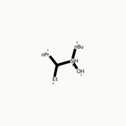 CCCC[SiH](O)C(CC)CCC